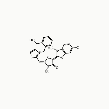 CCn1c(=O)/c(=C2\Sc3cc(Cl)ccc3N2C)s/c1=C\c1scc[n+]1Cc1ccccc1CO